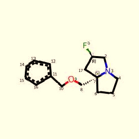 F[C@H]1CN2CCC[C@@]2(COCc2ccccc2)C1